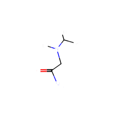 CCCC(C)N(CC)CC(N)=O